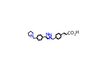 O=C(O)/C=C/c1ccc(Cn2cc(-c3ccc(CN4CCCC4)cc3)nn2)cc1